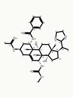 COC(=O)O[C@@H]1C=C2C[C@@H](OC(C)=O)C[C@H](OC(=O)c3ccccc3)[C@]2(C)[C@H]2CC[C@]3(C)[C@@H](C(C)C4OCCO4)CC[C@H]3[C@H]12